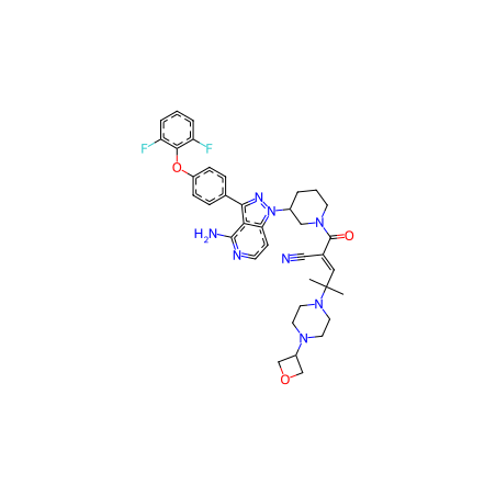 CC(C)(C=C(C#N)C(=O)N1CCCC(n2nc(-c3ccc(Oc4c(F)cccc4F)cc3)c3c(N)nccc32)C1)N1CCN(C2COC2)CC1